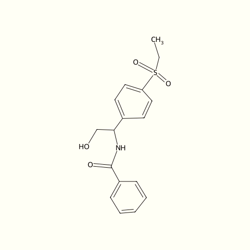 CCS(=O)(=O)c1ccc(C(CO)NC(=O)c2ccccc2)cc1